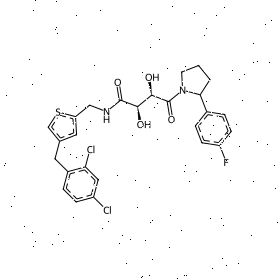 O=C(NCc1cc(Cc2ccc(Cl)cc2Cl)cs1)[C@H](O)[C@@H](O)C(=O)N1CCCC1c1ccc(F)cc1